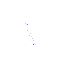 CC1(c2ccc(-c3ccc(-c4ccc(C5(C(F)(F)F)N=N5)cc4)cc3)cc2)N=N1